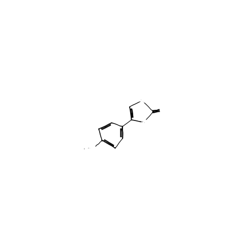 CCCCCc1ccc(-c2c[nH]c(=S)[nH]2)cc1